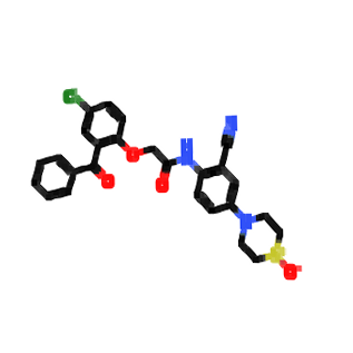 N#Cc1cc(N2CC[S+]([O-])CC2)ccc1NC(=O)COc1ccc(Cl)cc1C(=O)c1ccccc1